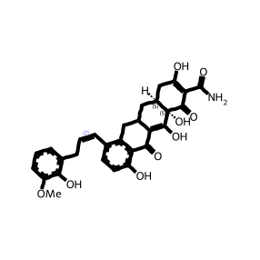 COc1cccc(C/C=C\c2ccc(O)c3c2CC2C[C@H]4CC(O)=C(C(N)=O)C(=O)[C@@]4(O)C(O)=C2C3=O)c1O